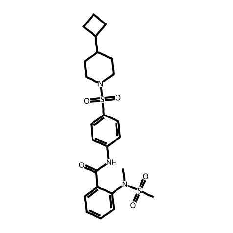 CN(c1ccccc1C(=O)Nc1ccc(S(=O)(=O)N2CCC(C3CCC3)CC2)cc1)S(C)(=O)=O